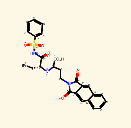 CC(C)C[C@@H](NC(CCN1C(=O)c2cc3ccccc3cc2C1=O)C(=O)O)C(=O)NS(=O)(=O)c1ccccc1